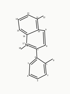 Cc1ccccc1-c1ccc2c(C)cccc2[n+]1C